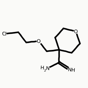 N=C(N)C1(COCCCl)CCOCC1